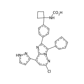 O=C(O)NC1(c2ccc(-c3nc4c(-c5cc[nH]n5)cc(Cl)nn4c3-c3ccccc3)cc2)CCC1